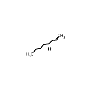 C=CCCCCCC.[H+]